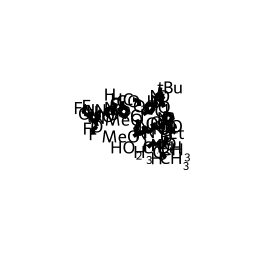 C#CCOc1cc(-n2nc(C(C)(C)C)oc2=O)c(Cl)cc1Cl.CCS(=O)(=O)c1cccnc1S(=O)(=O)NC(=O)Nc1nc(OC)cc(OC)n1.C[S+](C)C.O=C(Nc1nc(OC(F)F)cc(OC(F)F)n1)NS(=O)(=O)c1ccccc1C(=O)O.O=C(O)CNCP(=O)([O-])O